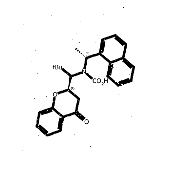 C[C@H](c1cccc2ccccc12)N(C(=O)O)C([C@H]1CC(=O)c2ccccc2O1)C(C)(C)C